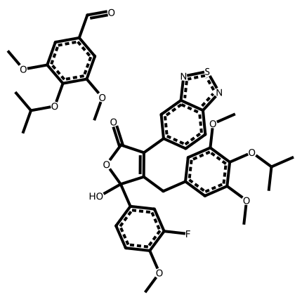 COc1cc(C=O)cc(OC)c1OC(C)C.COc1ccc(C2(O)OC(=O)C(c3ccc4nsnc4c3)=C2Cc2cc(OC)c(OC(C)C)c(OC)c2)cc1F